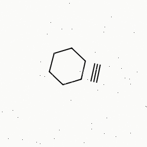 C#C.C1CCCCC1